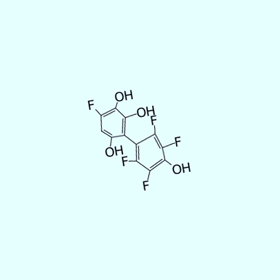 Oc1cc(F)c(O)c(O)c1-c1c(F)c(F)c(O)c(F)c1F